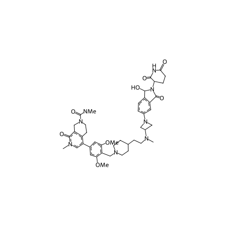 CNC(=O)N1CCc2c(-c3cc(OC)c(CN4CCC(CCN(C)C5CN(c6ccc7c(c6)C(=O)N(C6CCC(=O)NC6=O)C7O)C5)CC4)c(OC)c3)cn(C)c(=O)c2C1